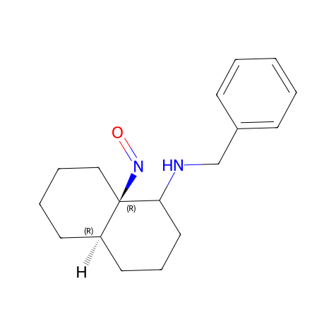 O=N[C@]12CCCC[C@@H]1CCCC2NCc1ccccc1